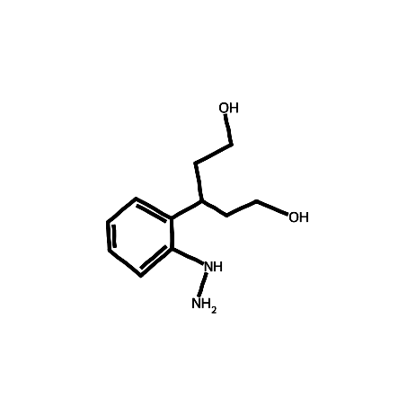 NNc1ccccc1C(CCO)CCO